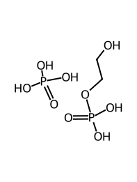 O=P(O)(O)O.O=P(O)(O)OCCO